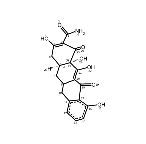 NC(=O)C1=C(O)C[C@@H]2CC3Cc4cccc(O)c4C(=O)C3=C(O)[C@]2(O)C1=O